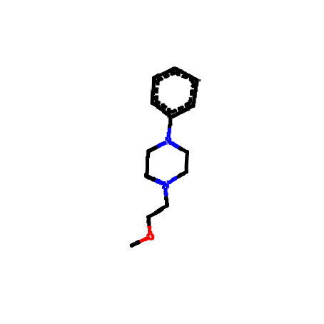 COCCN1CCN(c2c[c]ccc2)CC1